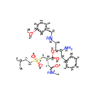 CNC(=O)C[C@H](CS(=O)(=O)CCC(C)C)C(=O)OC(CNCc1cccc(OC)c1)C(N)Cc1ccccc1